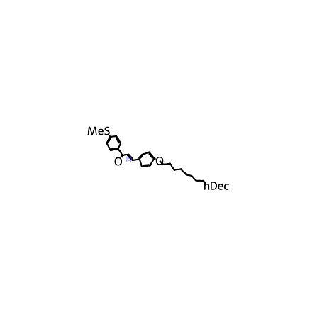 CCCCCCCCCCCCCCCCCCOc1ccc(/C=C/C(=O)c2ccc(SC)cc2)cc1